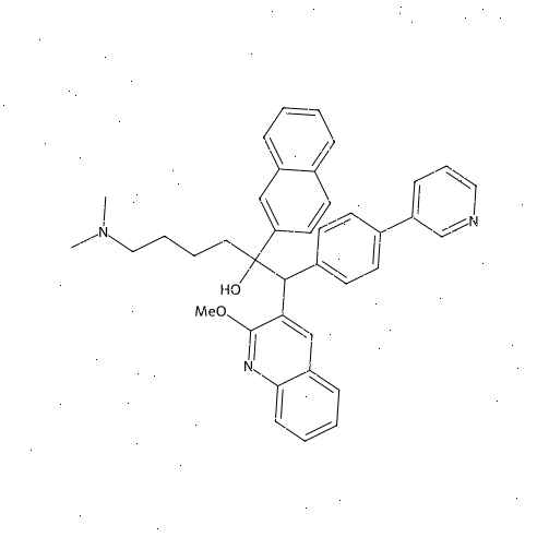 COc1nc2ccccc2cc1C(c1ccc(-c2cccnc2)cc1)C(O)(CCCCN(C)C)c1ccc2ccccc2c1